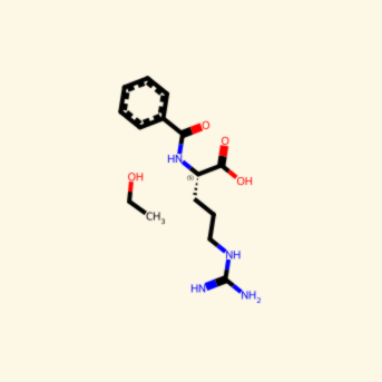 CCO.N=C(N)NCCC[C@H](NC(=O)c1ccccc1)C(=O)O